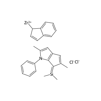 CC1=Cc2cc(C)n(-c3ccccc3)c2C1=[Si](C)C.[Cl-].[Cl-].[Zr+2][CH]1C=Cc2ccccc21